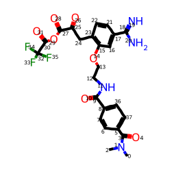 CN(C)C(=O)c1ccc(C(=O)NCCOc2cc(C(=N)N)ccc2CC(=O)C(=O)OC(=O)C(F)(F)F)cc1